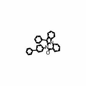 O=c1c2ccccc2n2c3ccccc3c(-c3ccccc3)c2n1-c1ccc(-c2ccccc2)cc1